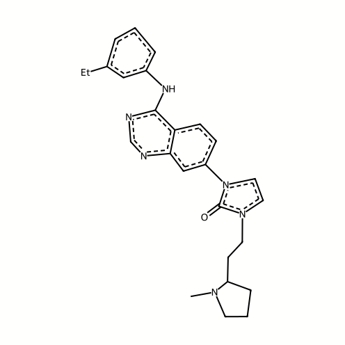 CCc1cccc(Nc2ncnc3cc(-n4ccn(CCC5CCCN5C)c4=O)ccc23)c1